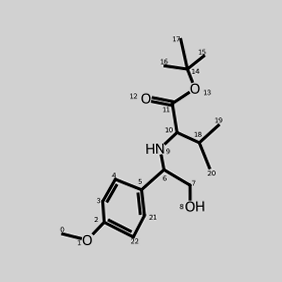 COc1ccc(C(CO)NC(C(=O)OC(C)(C)C)C(C)C)cc1